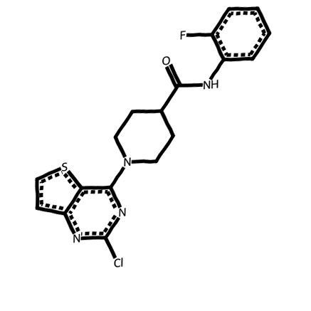 O=C(Nc1ccccc1F)C1CCN(c2nc(Cl)nc3ccsc23)CC1